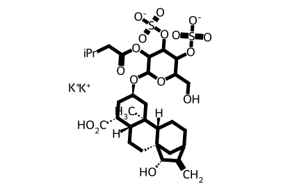 C=C1C2CC[C@H]3[C@]4(C)C[C@H](OC5OC(CO)C(OS(=O)(=O)[O-])C(OS(=O)(=O)[O-])C5OC(=O)CC(C)C)C[C@@H](C(=O)O)[C@H]4CC[C@]3(C2)[C@H]1O.[K+].[K+]